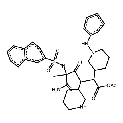 CC(=O)OC(=O)C(C1CCCN(Nc2ccccc2)C1)C(C(=O)C(C)(NS(=O)(=O)c1ccc2ccccc2c1)C(N)=O)C1CCCNC1